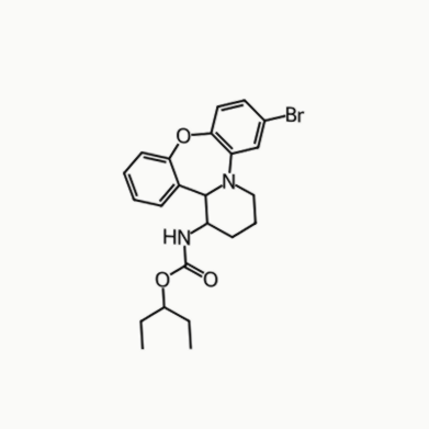 CCC(CC)OC(=O)NC1CCCN2c3cc(Br)ccc3Oc3ccccc3C12